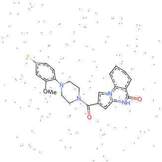 COc1cc(F)ccc1N1CCN(C(=O)c2cc3[nH]c(=O)c4ccccc4n3c2)CC1